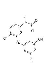 N#Cc1cc(Cl)cc(Oc2cc(C(F)C(=O)Cl)ccc2Cl)c1